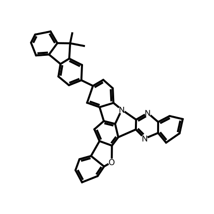 CC1(C)c2ccccc2-c2ccc(-c3ccc4c(c3)c3cc5c6ccccc6oc5c5c6nc7ccccc7nc6n4c35)cc21